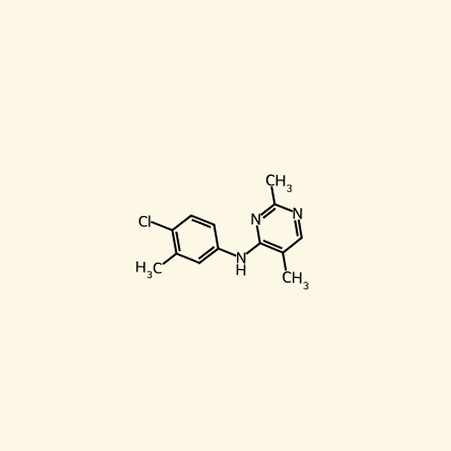 Cc1ncc(C)c(Nc2ccc(Cl)c(C)c2)n1